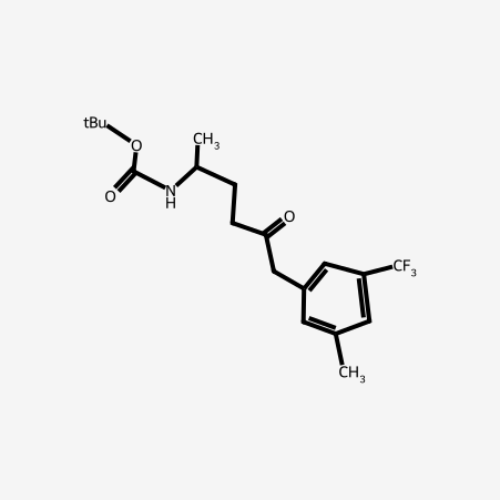 Cc1cc(CC(=O)CCC(C)NC(=O)OC(C)(C)C)cc(C(F)(F)F)c1